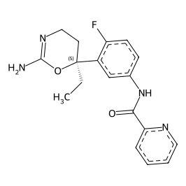 CC[C@@]1(c2cc(NC(=O)c3ccccn3)ccc2F)CCN=C(N)O1